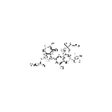 COC(=O)Cn1nc(-c2cc(Cl)c(OCCS(C)(C)C)c(C(=O)NC(C)(C)CC(C)(C)C)c2)c2c(=O)n(C)cnc21